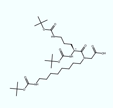 CC(C)(C)OC(=O)NCCCCCCCCN(CC(=O)O)C(=O)[C@H](CCCNC(=O)OC(C)(C)C)NC(=O)OC(C)(C)C